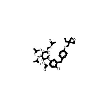 CCC1(COc2ccc(Cc3cc([C@@H]4O[C@H](COC(C)=O)[C@@H](OC(C)=O)[C@H](OC(C)=O)[C@H]4OC(C)=O)ccc3Cl)cc2)COC1